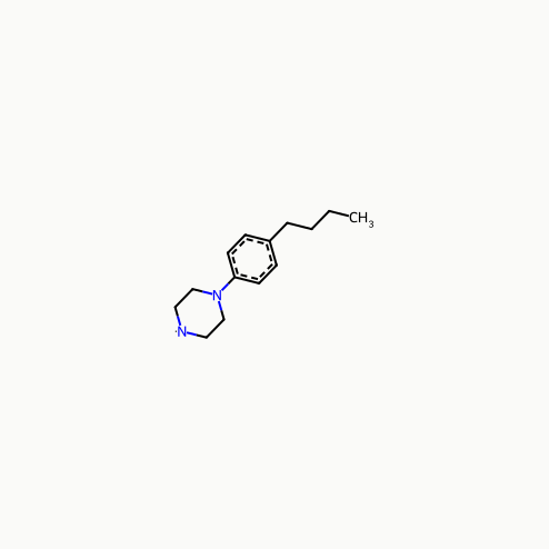 CCCCc1ccc(N2CC[N]CC2)cc1